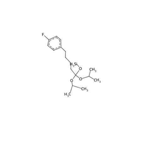 CC(C)OC(CCCCc1ccc(F)cc1)(O[SiH3])OC(C)C